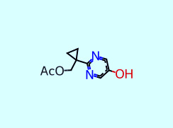 CC(=O)OCC1(c2ncc(O)cn2)CC1